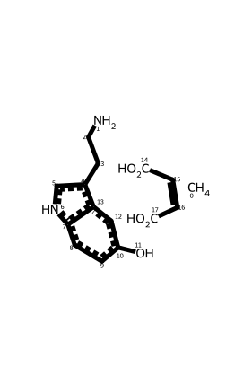 C.NCCc1c[nH]c2ccc(O)cc12.O=C(O)/C=C\C(=O)O